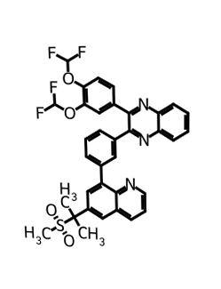 CC(C)(c1cc(-c2cccc(-c3nc4ccccc4nc3-c3ccc(OC(F)F)c(OC(F)F)c3)c2)c2ncccc2c1)S(C)(=O)=O